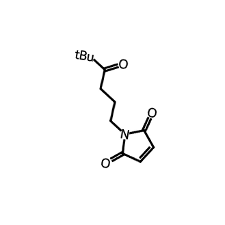 CC(C)(C)C(=O)CCCN1C(=O)C=CC1=O